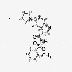 Cc1ccccc1S(=O)(=O)NC(=O)c1cnn2ccc(N3CCCC3)cc12